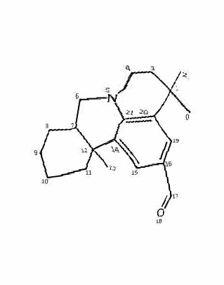 CC1(C)CCN2CC3CCCCC3(C)c3cc(C=O)cc1c32